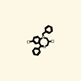 Clc1ccc2c(c1)C(c1ccccc1)=NCC(Cl)CN2Cc1ccccc1